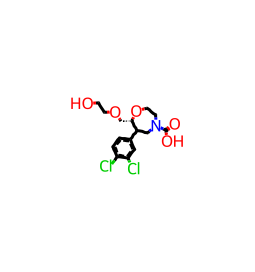 O=C(O)N1CCO[C@@H](COCCO)C(c2ccc(Cl)c(Cl)c2)C1